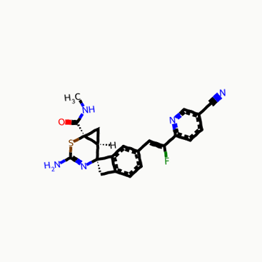 CNC(=O)[C@]12C[C@H]1[C@]1(Cc3ccc(/C=C(\F)c4ccc(C#N)cn4)cc31)N=C(N)S2